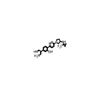 N=C/C(=C\N)c1ccc(-c2ccc(N3CCC(NC4(C(F)(F)F)CC4)C3)nn2)c(O)c1